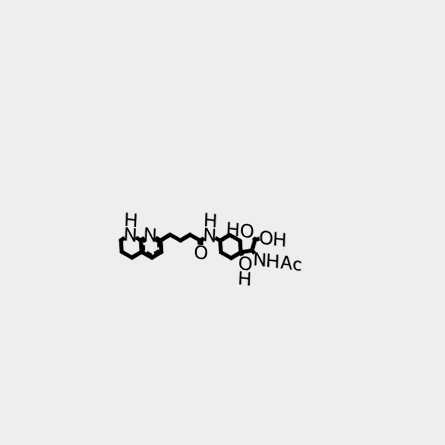 CC(=O)NC(C(O)O)C1(O)CCC(NC(=O)CCCc2ccc3c(n2)NCCC3)CC1